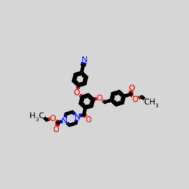 CCOC(=O)c1ccc(COc2cc(Oc3ccc(C#N)cc3)cc(C(=O)N3CCN(C(=O)OCC)CC3)c2)cc1